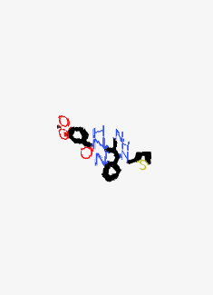 N#Cc1c(NC(=O)c2ccc3c(c2)OCO3)nc2ccccc2c1NCc1cccs1